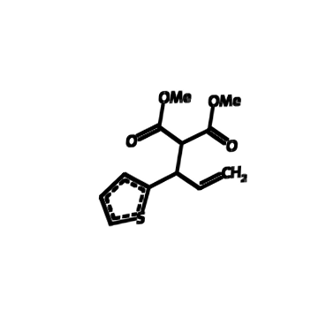 C=CC(c1cccs1)C(C(=O)OC)C(=O)OC